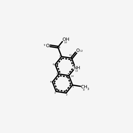 Cc1cccc2cc(C(=O)O)c(=O)[nH]c12